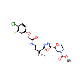 C=C(CCNC(=O)COc1ccc(Cl)c(F)c1)c1nnc(C2CN(C(=O)OC(C)(C)C)CCO2)o1